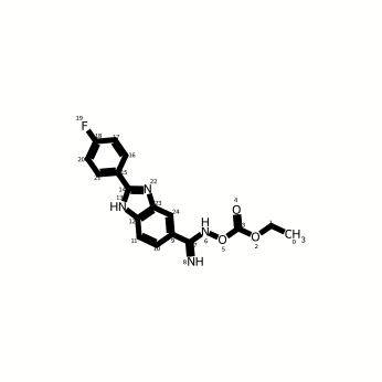 CCOC(=O)ONC(=N)c1ccc2[nH]c(-c3ccc(F)cc3)nc2c1